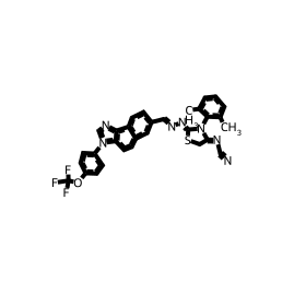 Cc1cccc(C)c1N1C(=NC#N)CSC1=NN=Cc1ccc2c(ccc3c2ncn3-c2ccc(OC(F)(F)F)cc2)c1